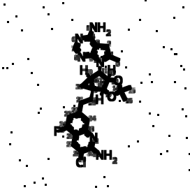 Cc1cc2c(N)ncnc2n1[C@H]1[C@@H]2OC(C)(C)O[C@@H]2[C@]2(CCc3cc(F)c4cc(Cl)c(N)nc4c3)C[C@H]12